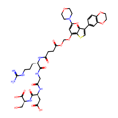 N=C(N)NCCC[C@H](NC(=O)CCC(=O)OCOc1cc(N2CCOCC2)[o+]c2c(-c3ccc4c(c3)OCCO4)csc12)C(=O)NCC(=O)N[C@@H](CC(=O)O)C(=O)N[C@@H](CO)C(=O)O